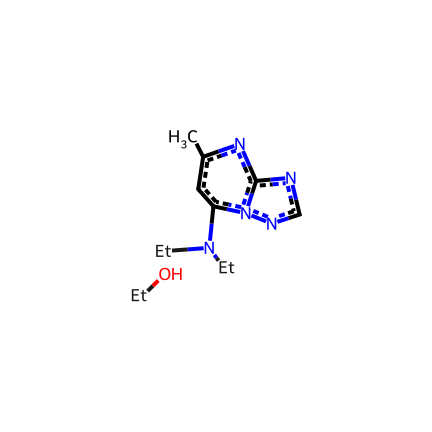 CCN(CC)c1cc(C)nc2ncnn12.CCO